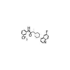 C[C@@H](C(=O)Nc1cccc(C(F)(F)F)c1)[C@H]1CC[C@@H](c2ccnc3ccc(F)cc32)CC1